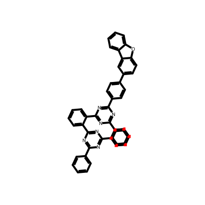 c1ccc(-c2nc(-c3ccccc3)nc(-c3ccccc3-c3nc(-c4ccccc4)nc(-c4ccc(-c5ccc6oc7ccccc7c6c5)cc4)n3)n2)cc1